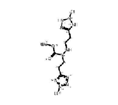 CCN1NN=C(CCNN(CCc2nnn(CC)n2)C(=O)OC(C)(C)C)N1